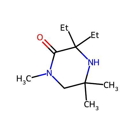 CCC1(CC)NC(C)(C)CN(C)C1=O